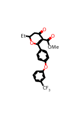 CCC1CC(=O)C(C(=O)OC)=C(c2ccc(Oc3cccc(C(F)(F)F)c3)cc2)O1